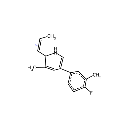 C/C=C\C1NC=C(c2ccc(F)c(C)c2)C=C1C